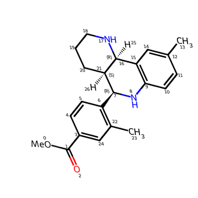 COC(=O)c1ccc([C@@H]2Nc3ccc(C)cc3[C@@H]3NCCC[C@H]23)c(C)c1